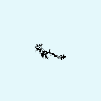 CC(C)(C)[Si](C)(C)OCCCOC(=O)C1C2CC3C(OC(=O)C31)C2OC(=O)C(F)(F)S(=O)(=O)O